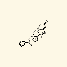 C[C@]12CC[C@H]3[C@@H](CCC4=CC(=O)CC[C@@]43CO)[C@@H]1CC[C@@H]2OC(=O)c1ccccc1